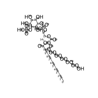 CC#CC#CC#CC#CC#CC(=O)OC[C@H](COP(=O)(O)OC1C(O)[C@H](OP(=O)(O)O)[C@H](O)C(O)[C@@H]1O)OC(=O)OOOOOOOOOOOOOO